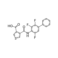 O=C(O)c1cscc1C(=O)Nc1c(F)cc(-c2ccccc2)c(F)c1F